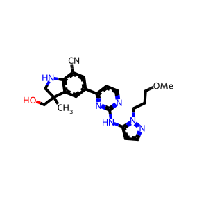 COCCCn1nccc1Nc1nccc(-c2cc(C#N)c3c(c2)C(C)(CO)CN3)n1